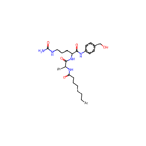 CC(=O)CCCCCCC(=O)NC(C(=O)NC(CCCNC(N)=O)C(=O)Nc1ccc(CO)cc1)C(C)C